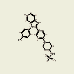 CS(=O)(=O)NC1CCN(c2ccc(-c3nc4ccncc4n3-c3ccc(Cl)cc3)cn2)CC1